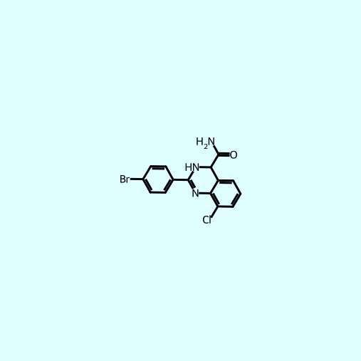 NC(=O)C1NC(c2ccc(Br)cc2)=Nc2c(Cl)cccc21